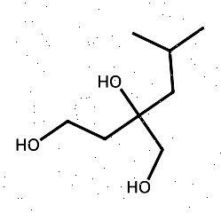 CC(C)CC(O)(CO)CCO